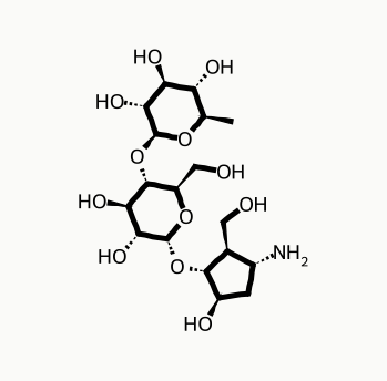 C[C@H]1O[C@@H](O[C@H]2[C@H](O)[C@@H](O)[C@@H](O[C@@H]3[C@@H](CO)[C@H](N)C[C@H]3O)O[C@@H]2CO)[C@H](O)[C@@H](O)[C@@H]1O